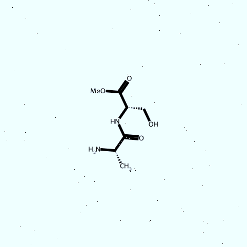 COC(=O)[C@H](CO)NC(=O)[C@H](C)N